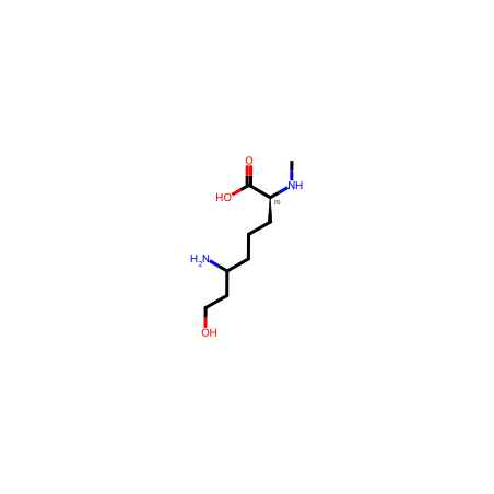 CN[C@@H](CCCC(N)CCO)C(=O)O